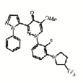 COc1cn(-c2cccc(N3CCC(C(F)(F)F)C3)c2F)nc(-c2ccnn2-c2ccccc2)c1=O